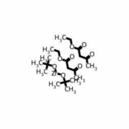 CC(C)(C)[O][Zr][O]C(C)(C)C.CCOC(=O)CC(C)=O.CCOC(=O)CC(C)=O